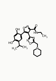 CCNC(=O)c1noc(-c2cc(C(C)C)c(O)cc2O)c1-c1noc(CN2CCCCC2)n1